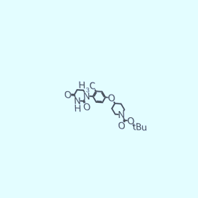 Cc1cc(OC2CCN(C(=O)OC(C)(C)C)CC2)ccc1N1CCC(=O)NC1=O